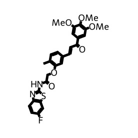 COc1cc(C(=O)/C=C/c2ccc(C)c(OCC(=O)Nc3nc4ccc(F)cc4s3)c2)cc(OC)c1OC